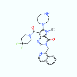 CCn1c(N2CCCNCC2)c(C(=O)N2CCC(F)(F)CC2)c2ncn(Cc3nccc4ccccc34)c(=O)c21